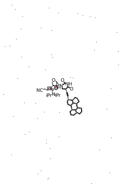 CC[C@]12COC([C@H](n3cc(C#Cc4ccc5c6cccc7cccc(c8cccc4c85)c76)c(=O)[nH]c3=O)O1)[C@@H]2OP(OCCC#N)N(C(C)C)C(C)C